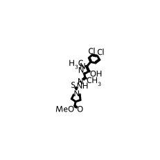 COC(=O)C1CCN(C(=S)N/N=C(\C)c2nn(C)c(-c3ccc(Cl)c(Cl)c3)c2O)CC1